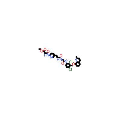 CCOC(=O)CC(=O)Nc1ccc(C=CC(=O)NCC(=O)N(C)c2ccc(Cl)c(COc3cccc4ccc(C)nc34)c2Cl)cn1